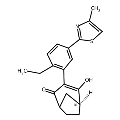 CCc1ccc(-c2nc(C)cs2)cc1C1=C(O)[C@H]2CCC(C2)C1=O